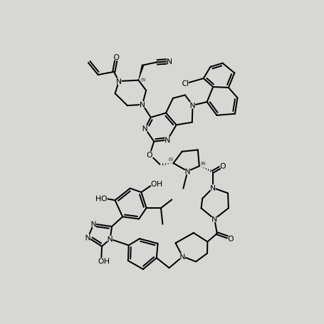 C=CC(=O)N1CCN(c2nc(OC[C@@H]3CC[C@H](C(=O)N4CCN(C(=O)C5CCN(Cc6ccc(-n7c(O)nnc7-c7cc(C(C)C)c(O)cc7O)cc6)CC5)CC4)N3C)nc3c2CCN(c2cccc4cccc(Cl)c24)C3)C[C@@H]1CC#N